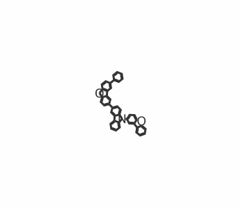 c1ccc(-c2ccc3oc4ccc(-c5ccc6c(c5)c5ccccc5n6-c5ccc6oc7ccccc7c6c5)cc4c3c2)cc1